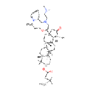 COCCO[C@@H](CN(CCN(C)C)Cc1ccccn1)[C@@]12CC[C@]3(C)[C@H](CC[C@@H]4[C@@]5(C)CC[C@H](OC(=O)CC(C)(C)C(=O)O)C(C)(C)[C@@H]5CC[C@]43C)C1=C(C(C)C)C(=O)C2